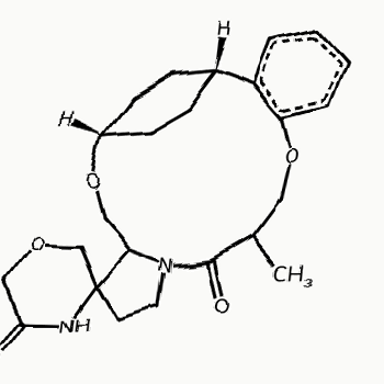 CC1COc2ccccc2[C@H]2CC[C@H](CC2)OCC2N(CCC23COCC(=O)N3)C1=O